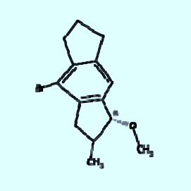 CO[C@H]1c2cc3c(c(Br)c2CC1C)CCC3